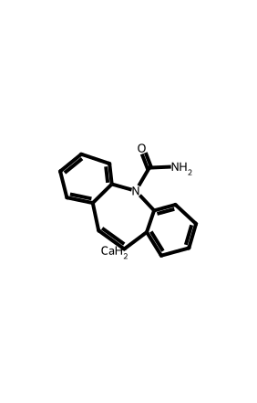 NC(=O)N1c2ccccc2C=Cc2ccccc21.[CaH2]